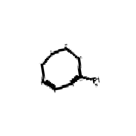 [Pt][C]1=CC=CCCCC1